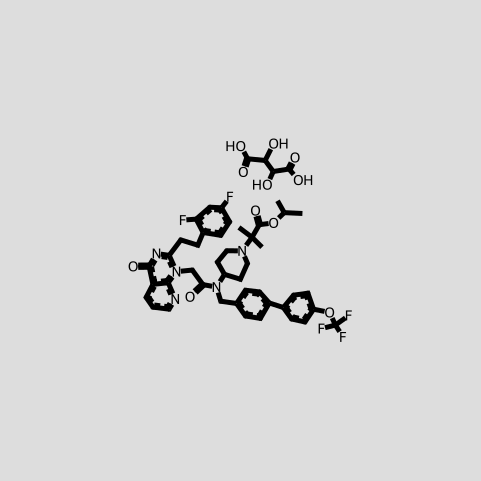 CC(C)OC(=O)C(C)(C)N1CCC(N(Cc2ccc(-c3ccc(OC(F)(F)F)cc3)cc2)C(=O)Cn2c(CCc3ccc(F)cc3F)nc(=O)c3cccnc32)CC1.O=C(O)C(O)C(O)C(=O)O